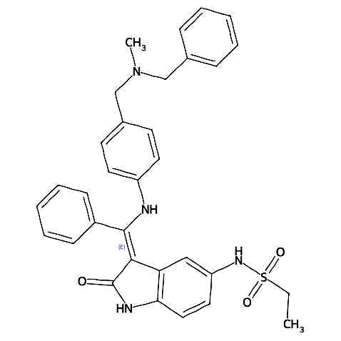 CCS(=O)(=O)Nc1ccc2c(c1)/C(=C(\Nc1ccc(CN(C)Cc3ccccc3)cc1)c1ccccc1)C(=O)N2